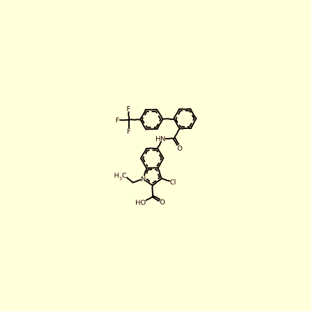 CCn1c(C(=O)O)c(Cl)c2cc(NC(=O)c3ccccc3-c3ccc(C(F)(F)F)cc3)ccc21